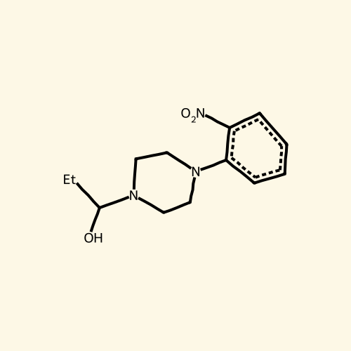 CCC(O)N1CCN(c2ccccc2[N+](=O)[O-])CC1